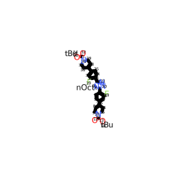 CCCCCCCCn1c(-c2ccc(C3=CCN(C(=O)OC(C)(C)C)CC3)cc2F)nnc1-c1ccc(C2=CCN(C(=O)OC(C)(C)C)CC2)cc1F